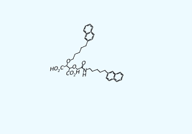 O=C(COC(C(=O)O)C(OCCCCCc1ccc2ccccc2c1)C(=O)O)NCCCCCc1ccc2ccccc2c1